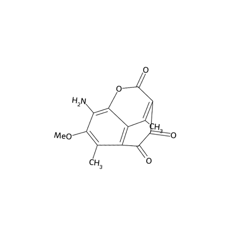 COc1c(C)c2c3c(C)c(c(=O)oc3c1N)C(=O)C2=O